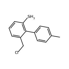 Cc1ccc(-c2c([SiH3])cccc2CCl)cc1